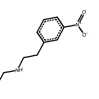 CCNCCc1cccc([N+](=O)[O-])c1